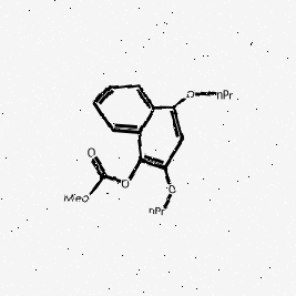 CCCOc1cc(OCCC)c2ccccc2c1OC(=O)OC